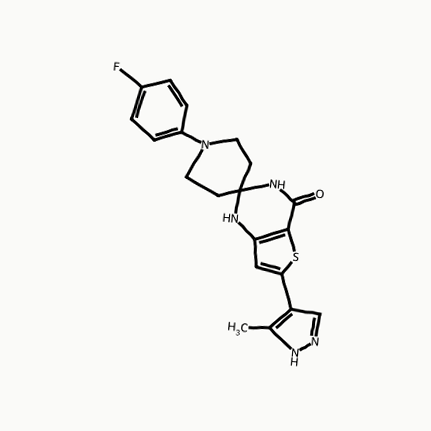 Cc1[nH]ncc1-c1cc2c(s1)C(=O)NC1(CCN(c3ccc(F)cc3)CC1)N2